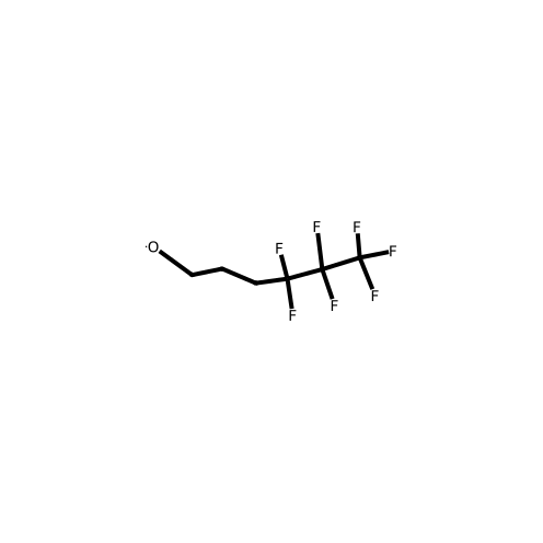 [O]CCCC(F)(F)C(F)(F)C(F)(F)F